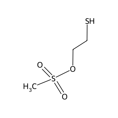 CS(=O)(=O)OCCS